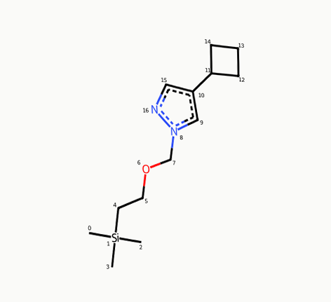 C[Si](C)(C)CCOCn1cc(C2CCC2)cn1